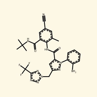 Bc1ccccc1-n1nc(Cn2nnc(C(F)(F)F)n2)cc1C(=O)Nc1c(C)cc(C#N)cc1C(=O)NC(C)(C)C